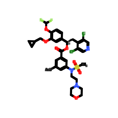 CC(=O)Oc1cc(C(=O)O[C@@H](Cc2c(Cl)cncc2Cl)c2ccc(OC(F)F)c(OCC3CC3)c2)cc(N(CCN2CCOCC2)S(C)(=O)=O)c1